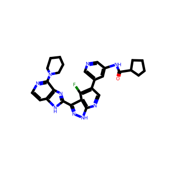 O=C(Nc1cncc(-c2cnc3[nH]nc(-c4nc5c(N6CCCCC6)nccc5[nH]4)c3c2F)c1)C1CCCC1